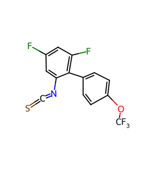 Fc1cc(F)c(-c2ccc(OC(F)(F)F)cc2)c(N=C=S)c1